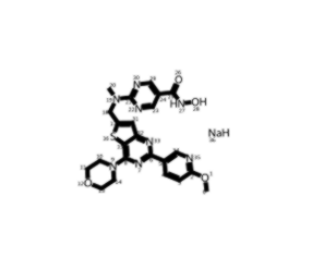 COc1ccc(-c2nc(N3CCOCC3)c3sc(CN(C)c4ncc(C(=O)NO)cn4)cc3n2)cn1.[NaH]